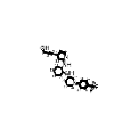 OCC#Cc1ccnc(N[C@@H]2CCCC[C@H]2N[C@H]2CCCN(c3ccc(C(F)(F)F)cc3)C2)c1